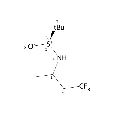 CC(CC(F)(F)F)N[S@@+]([O-])C(C)(C)C